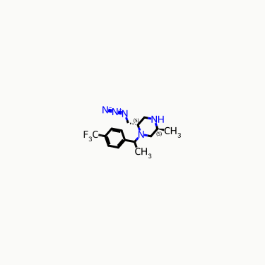 CC(c1ccc(C(F)(F)F)cc1)N1C[C@H](C)NC[C@H]1CN=[N+]=[N-]